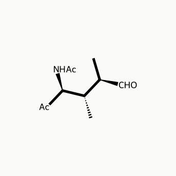 CC(=O)N[C@H](C(C)=O)[C@@H](C)[C@@H](C)C=O